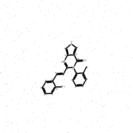 Cc1ccccc1-n1c(C=Cc2ccccc2F)nc2cscc2c1=O